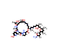 CC[C@@H](C[C@H](C)[C@H]1O[C@@H](C[C@H](O)[C@@H](C)CC/C=C/C=C(\C)[C@@H]2C/C=C/C=C/[C@H](O)[C@H](C)[C@@H](O)[C@@H](CCC(C)=O)C(=O)N[C@@H](C(C)C)C(=O)N[C@@H](Cc3cccc(O)n3)C(=O)N3CCCC(N3)C(=O)O2)[C@H](C)C=C1C)C(N)=O